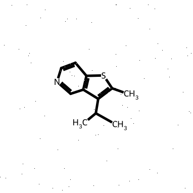 Cc1sc2ccncc2c1C(C)C